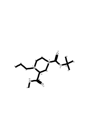 CCCN1CCN(C(=O)OC(C)(C)C)CC1C(=O)OC